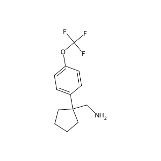 NCC1(c2ccc(OC(F)(F)F)cc2)CCCC1